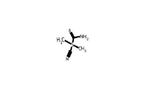 CS(C)(C#N)C(N)=S